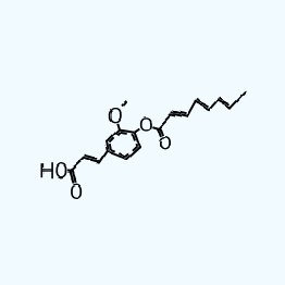 CC=CC=CC=CC(=O)Oc1ccc(C=CC(=O)O)cc1OC